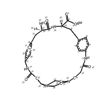 COC(=O)[C@@H]1Cc2ccc(cc2)NC(=O)CCN2CCN(CCC(=O)Nc3ccc(cc3)C[C@@H](N)C(=O)N1)CC2